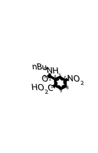 CCCCNC(=O)c1cc([N+](=O)[O-])ccc1C(=O)O